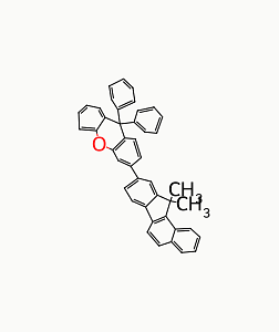 CC1(C)c2cc(-c3ccc4c(c3)Oc3ccccc3C4(c3ccccc3)c3ccccc3)ccc2-c2ccc3ccccc3c21